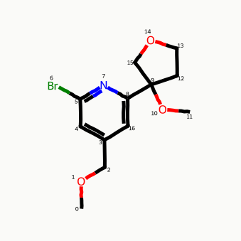 COCc1cc(Br)nc(C2(OC)CCOC2)c1